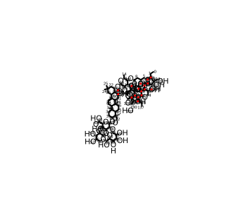 CC[C@H](C)[C@H](C[C@H](O)CC(=O)O[C@@H]1C(C)O[C@@H](OC(=O)[C@]23CCC(C)(C)CC2C2=CCC4[C@@]5(C)CC[C@H](O[C@@H]6OC(C(=O)O)[C@H](O)C(O[C@@H]7OC[C@@H](O)C(O)C7O)C6O[C@@H]6OC(CO)[C@H](O)C(O)C6O)[C@@](C)(C=O)C5CC[C@@]4(C)[C@]2(C)C[C@H]3O)C(O[C@@H]2OC(C)[C@H](O[C@H]3OCC(O)[C@H](O[C@@H]4OCC(O)(CO)C4O)C3O)C(O)C2O)C1O)OC(=O)C[C@@H](O)C[C@H](OC1(O)CO[C@@H](CO)C1O)[C@@H](C)CC